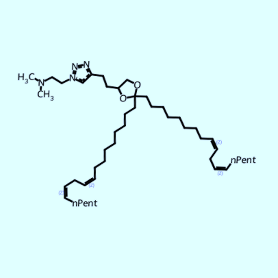 CCCCC/C=C\C/C=C\CCCCCCCCC1(CCCCCCCC/C=C\C/C=C\CCCCC)OCC(CCc2cn(CCN(C)C)nn2)O1